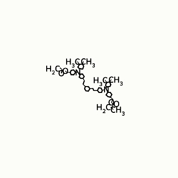 C=CC(=O)OCc1ccc(N(c2ccc(C=Cc3cccc(C=Cc4ccc(N(c5ccc(COC(=O)C(=C)C)cc5)c5ccc(C)c(C)c5)cc4)c3)cc2)c2ccc(C)c(C)c2)cc1